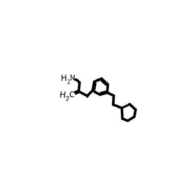 C=C(CN)Cc1cccc(CCC2CCCCC2)c1